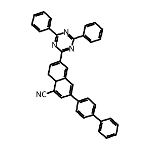 N#CC1=CC(c2ccc(-c3ccccc3)cc2)=CC2=CC(c3nc(-c4ccccc4)nc(-c4ccccc4)n3)=CCC12